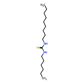 CCCCCCCCCNC(=S)NCCCCCC